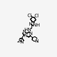 CN1CC=C(c2cn3c(-c4cnn(C)c4)cnc3c(NCc3nc4cc(Cl)c(Cl)cc4[nH]3)n2)CC1